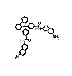 Nc1ccc2ccc(NC(=O)c3ccc(C4(c5ccc(C(=O)Nc6ccc7ccc(N)cc7c6)cc5)c5ccccc5-c5ccccc54)cc3)cc2c1